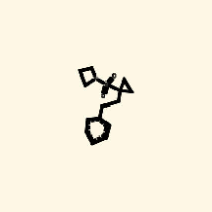 O=S(=O)(N1CCC1)C1(CCc2ccccc2)CC1